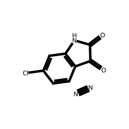 N#N.O=C1Nc2cc(Cl)ccc2C1=O